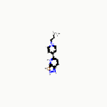 O=C(O)CC[n+]1ccc(-c2ccc3nnsc3n2)cc1